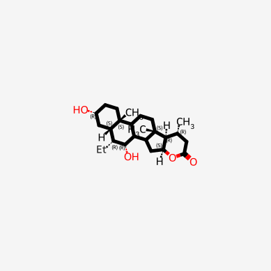 CC[C@H]1[C@@H](O)C2C3C[C@@H]4OC(=O)C[C@@H](C)[C@@H]4[C@@]3(C)CCC2[C@@]2(C)CC[C@@H](O)C[C@@H]12